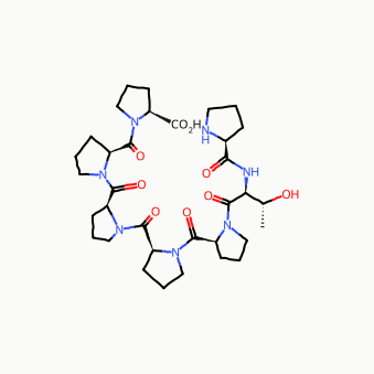 C[C@@H](O)[C@H](NC(=O)[C@@H]1CCCN1)C(=O)N1CCC[C@H]1C(=O)N1CCC[C@H]1C(=O)N1CCC[C@H]1C(=O)N1CCC[C@H]1C(=O)N1CCC[C@H]1C(=O)O